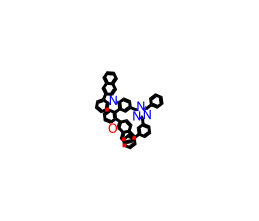 c1ccc(-c2cccc(-c3nc(-c4ccccc4)nc(-c4ccc(-n5c6ccccc6c6cc7ccccc7cc65)c(-c5cccc6oc7c8ccccc8ccc7c56)c4)n3)c2)cc1